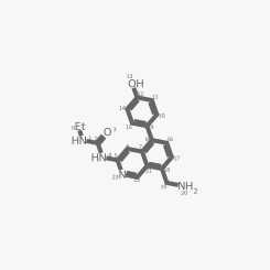 CCNC(=O)Nc1cc2c(-c3ccc(O)cc3)ccc(CN)c2cn1